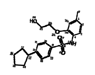 Cc1ccc(NS(=O)(=O)c2ccc(C3CCCC3)cc2)c(OCCO)c1